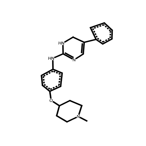 CN1CCC(Oc2ccc(NC3=NC=C(c4ccccc4)[CH]N3)cc2)CC1